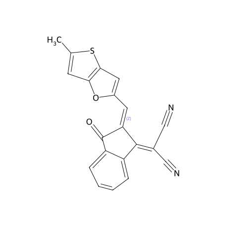 Cc1cc2oc(/C=C3\C(=O)c4ccccc4C3=C(C#N)C#N)cc2s1